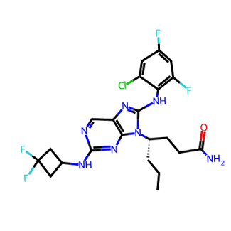 CCC[C@@H](CCC(N)=O)n1c(Nc2c(F)cc(F)cc2Cl)nc2cnc(NC3CC(F)(F)C3)nc21